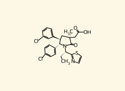 CC[C@@H](c1nccs1)N1C(=O)[C@](C)(CC(=O)O)C[C@H](c2cccc(Cl)c2)[C@H]1c1ccc(Cl)cc1